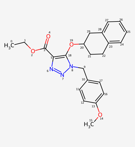 CCOC(=O)c1nnn(Cc2ccc(OC)cc2)c1OC1CCc2ccccc2C1